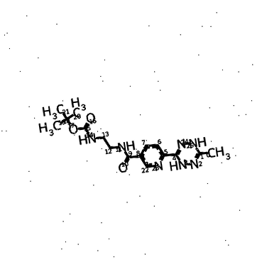 CC1=NNC(c2ccc(C(=O)NCCNC(=O)OC(C)(C)C)cn2)=NN1